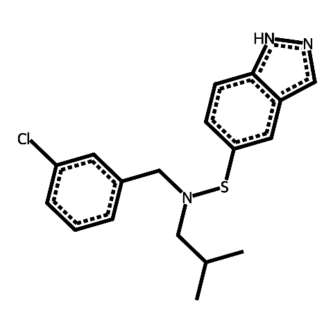 CC(C)CN(Cc1cccc(Cl)c1)Sc1ccc2[nH]ncc2c1